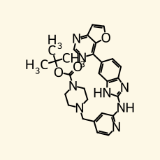 CC(C)(C)OC(=O)N1CCN(Cc2ccnc(Nc3nc4ccc(-c5ncnc6ccoc56)cc4[nH]3)c2)CC1